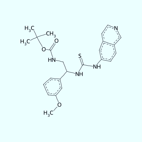 COc1cccc(C(CNC(=O)OC(C)(C)C)NC(=S)Nc2ccc3cnccc3c2)c1